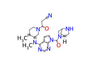 C[C@@H]1CCN(C(=O)CC#N)C[C@@H]1N(C)c1ncnc2c1ccn2C(=O)N1CC2C[C@H]1CN2